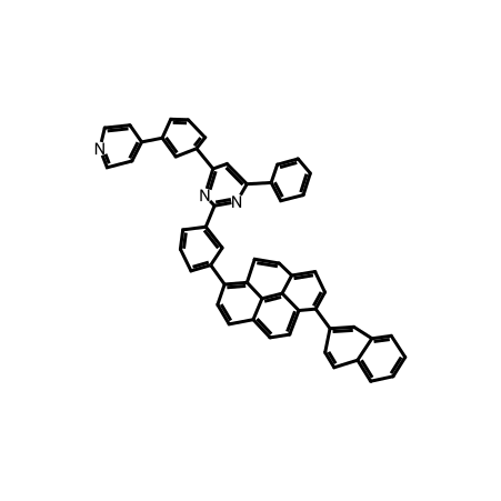 c1ccc(-c2cc(-c3cccc(-c4ccncc4)c3)nc(-c3cccc(-c4ccc5ccc6c(-c7ccc8ccccc8c7)ccc7ccc4c5c76)c3)n2)cc1